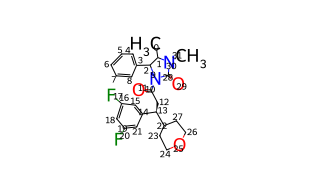 CC1C(c2ccccc2)N(C(=O)C[C@H](c2cc(F)cc(F)c2)C2CCOCC2)C(=O)N1C